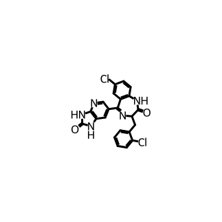 O=C1Nc2ccc(Cl)cc2C(c2cnc3[nH]c(=O)[nH]c3c2)=NC1Cc1ccccc1Cl